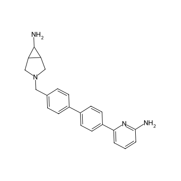 Nc1cccc(-c2ccc(-c3ccc(CN4CC5C(N)C5C4)cc3)cc2)n1